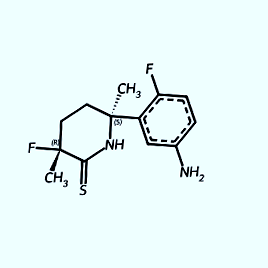 C[C@@]1(F)CC[C@@](C)(c2cc(N)ccc2F)NC1=S